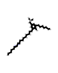 CCCCC/C=C/C=C/CCCCCCCCc1cc(CN(C)C)cc(CCCCCCC)c1C